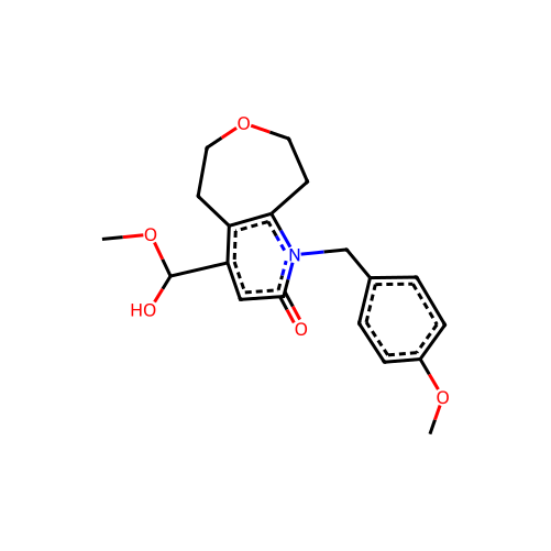 COc1ccc(Cn2c3c(c(C(O)OC)cc2=O)CCOCC3)cc1